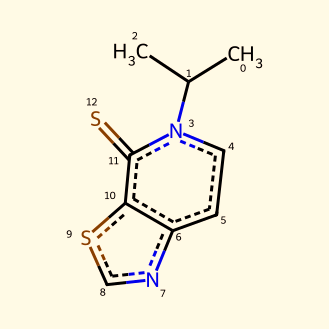 CC(C)n1ccc2ncsc2c1=S